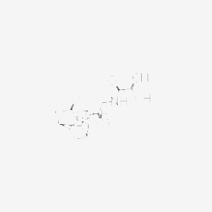 C=C(C)C(=O)NCC(=O)OC1C2CC3C1OC(=O)C3(C(=O)O)C2